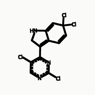 Clc1ncc(Cl)c(C2=C3C=CC(Cl)(Cl)C=C3NC2)n1